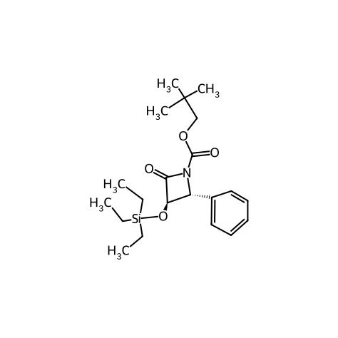 CC[Si](CC)(CC)O[C@H]1C(=O)N(C(=O)OCC(C)(C)C)[C@@H]1c1ccccc1